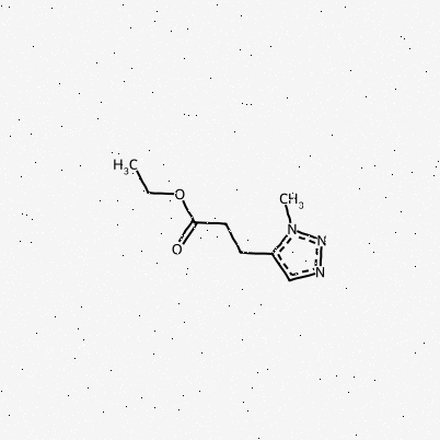 CCOC(=O)CCc1cnnn1C